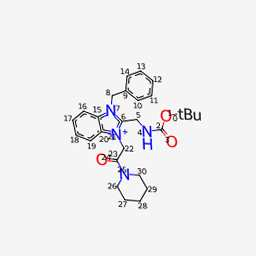 CC(C)(C)OC(=O)NCc1n(Cc2ccccc2)c2ccccc2[n+]1CC(=O)N1CCCCC1